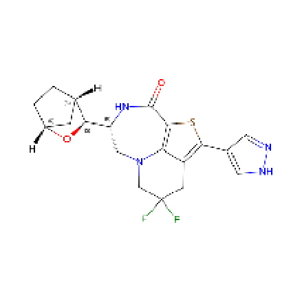 O=C1N[C@@H]([C@H]2O[C@@H]3CC[C@H]2C3)CN2CC(F)(F)Cc3c(-c4cn[nH]c4)sc1c32